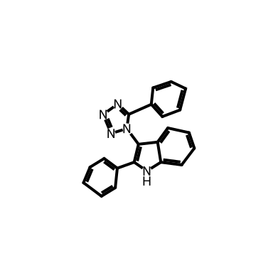 c1ccc(-c2[nH]c3ccccc3c2-n2nnnc2-c2ccccc2)cc1